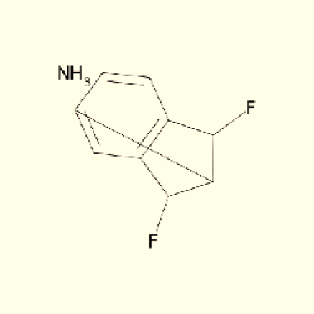 FC1c2ccc3cc2C(F)C31.N